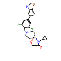 O=C1COC2(CCN(Cc3c(F)cc(-c4ccc5scnc5c4)cc3F)CC2)CN1C1CC1